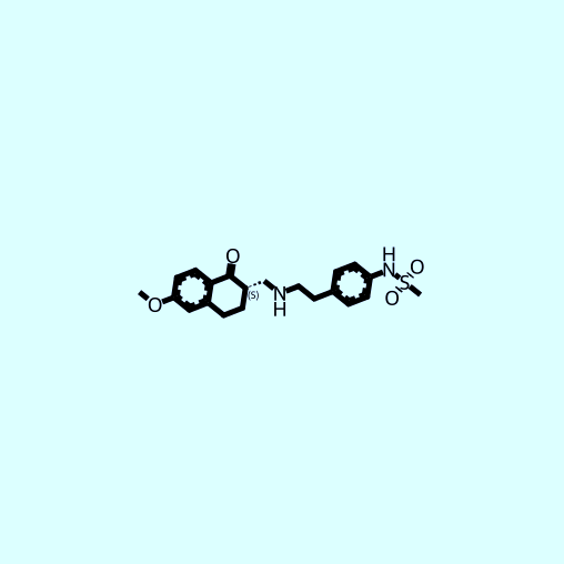 COc1ccc2c(c1)CC[C@@H](CNCCc1ccc(NS(C)(=O)=O)cc1)C2=O